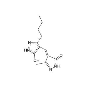 CCCCc1n[nH]c(O)c1C=C1C(=O)NN=C1C